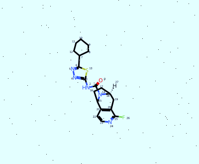 O=C(Nc1nnc(C2CCCCC2)s1)N1C2CC[C@H]1Cc1c2ccnc1F